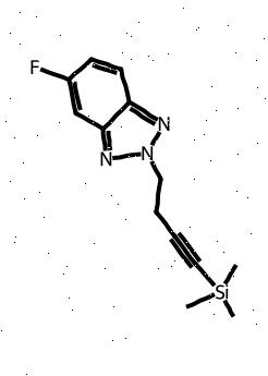 C[Si](C)(C)C#CCCn1nc2ccc(F)cc2n1